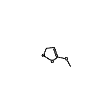 COC1=CC[N]O1